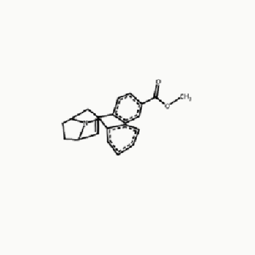 COC(=O)c1ccc(C2=CC3CCC(C2)N3Cc2ccccc2)cc1